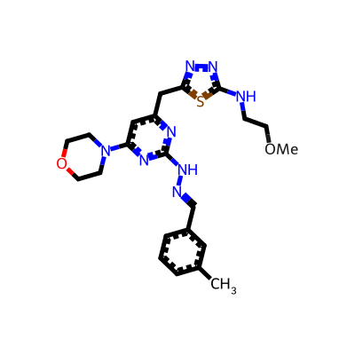 COCCNc1nnc(Cc2cc(N3CCOCC3)nc(NN=Cc3cccc(C)c3)n2)s1